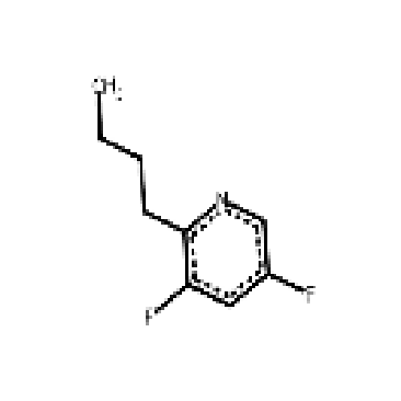 CCCCc1ncc(F)cc1F